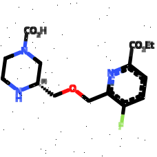 CCOC(=O)c1ccc(F)c(COC[C@H]2CN(C(=O)O)CCN2)n1